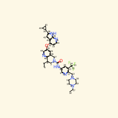 CC[C@@H]1CN(C(=O)Nc2cnc(CN3CCN(CC)CC3)c(C(F)(F)F)c2)Cc2cc(Oc3ccnc4[nH]c(C5CC5)cc34)cnc21